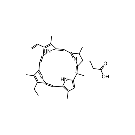 C=Cc1c(C)c2cc3nc(c(C)c4cc(C)c(cc5nc(cc1[nH]2)C(C)=C5CC)[nH]4)[C@@H](CCC(=O)O)C3C